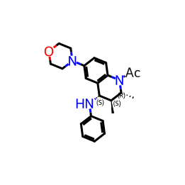 CC(=O)N1c2ccc(N3CCOCC3)cc2[C@@H](Nc2ccccc2)[C@H](C)[C@H]1C